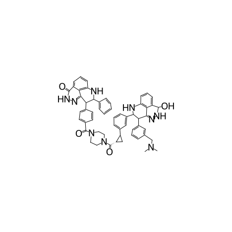 CN(C)Cc1cccc(C2C3=NNC(O)c4cccc(c43)NC2c2cccc(C3C[C@@H]3C(=O)N3CCN(C(=O)c4ccc(C5c6n[nH]c(=O)c7cccc(c67)NC5c5ccccc5)cc4)CC3)c2)c1